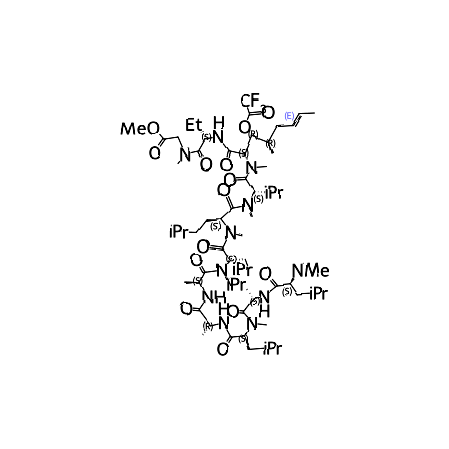 C/C=C/C[C@@H](C)[C@@H](OC(=O)C(F)(F)F)[C@@H](C(=O)N[C@@H](CC)C(=O)N(C)CC(=O)OC)N(C)C(=O)[C@H](C(C)C)N(C)C(=O)[C@H](CCC(C)C)N(C)C(=O)[C@H](CC(C)C)N(C)C(=O)[C@H](C)NC(=O)[C@@H](C)NC(=O)[C@H](CC(C)C)N(C)C(=O)[C@@H](NC(=O)[C@H](CC(C)C)NC)C(C)C